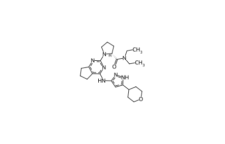 CCN(CC)C(=O)[C@H]1CCCN1c1nc2c(c(Nc3cc(C4CCOCC4)[nH]n3)n1)CCC2